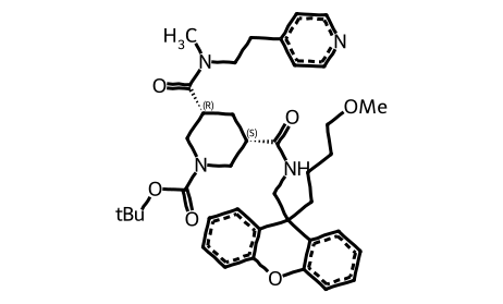 COCCCCC1(CNC(=O)[C@H]2C[C@@H](C(=O)N(C)CCc3ccncc3)CN(C(=O)OC(C)(C)C)C2)c2ccccc2Oc2ccccc21